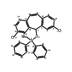 CC(C)(C)[Si](OC1c2cc(Cl)ncc2C=Cc2ncc(Cl)cc21)(c1ccccc1)c1ccccc1